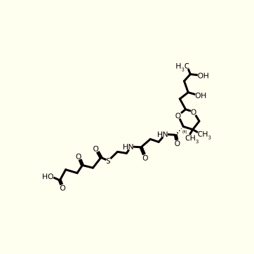 CC(O)CC(O)CC1OCC(C)(C)[C@H](C(=O)NCCC(=O)NCCSC(=O)CC(=O)CCC(=O)O)O1